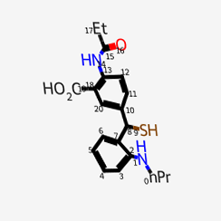 CCCNc1ccccc1C(S)c1ccc(NC(=O)CC)c(C(=O)O)c1